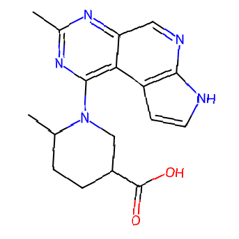 Cc1nc(N2CC(C(=O)O)CCC2C)c2c(cnc3[nH]ccc32)n1